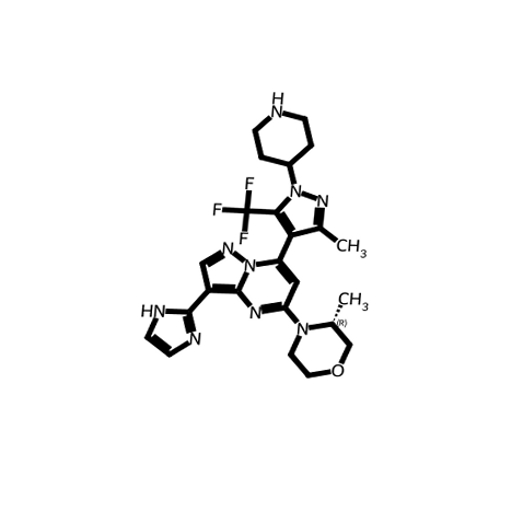 Cc1nn(C2CCNCC2)c(C(F)(F)F)c1-c1cc(N2CCOC[C@H]2C)nc2c(-c3ncc[nH]3)cnn12